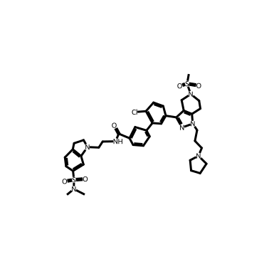 CN(C)S(=O)(=O)c1ccc2c(c1)N(CCNC(=O)c1cccc(-c3cc(-c4nn(CCCN5CCCC5)c5c4CN(S(C)(=O)=O)CC5)ccc3Cl)c1)CC2